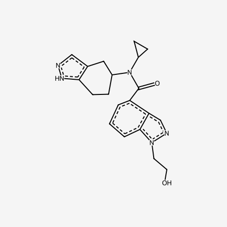 O=C(c1cccc2c1cnn2CCO)N(C1CC1)C1CCc2[nH]ncc2C1